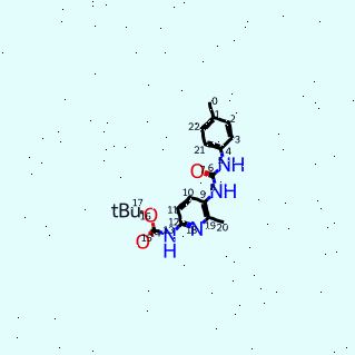 Cc1ccc(NC(=O)Nc2ccc(NC(=O)OC(C)(C)C)nc2C)cc1